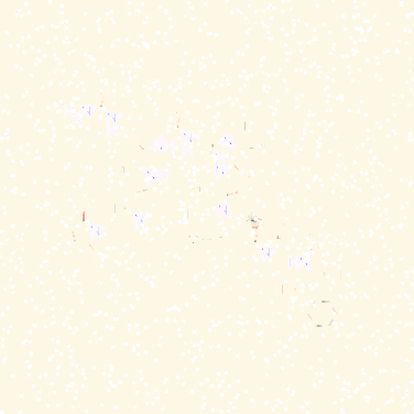 CC[C@H](C)[C@@H]([C@@H](CC(=O)N1CCC[C@H]1[C@H](OC)[C@@H](C)C(=O)N[C@H](C)[C@@H](O)c1ccccc1)OC)N(C)C(=O)C(NC(=O)[C@H](C(C)C)N(C)C(=O)CNC(=O)[C@H](CCCNC(N)=O)NC(=O)C(NC(=O)CCN(C)CCCN1C(=O)C=CC1=O)C(C)C)C(C)C